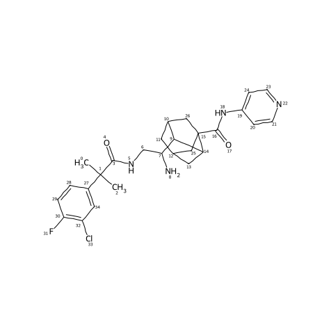 CC(C)(C(=O)NCC(N)C1C2CC3CC1C(C(=O)Nc1ccncc1)(C3)C2)c1ccc(F)c(Cl)c1